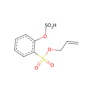 C=CCOS(=O)(=O)c1ccccc1OS(=O)(=O)O